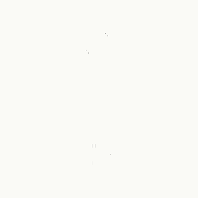 CC1(C)c2ccccc2-c2ccc3cc(-c4ccc(-c5nc6c(nc5-c5ccccc5)oc5ccccc56)c5ccccc45)ccc3c21